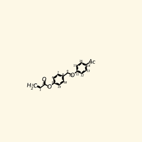 C=CC(=O)Oc1ccc(COc2ccc(C(C)=O)cc2)cc1